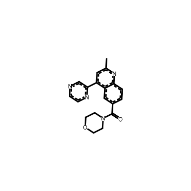 Cc1cc(-c2cnccn2)c2cc(C(=O)N3CCOCC3)ccc2n1